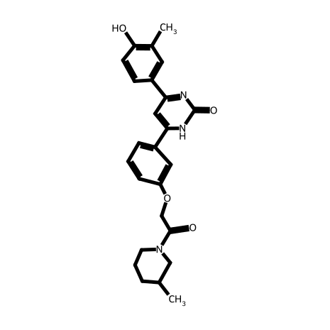 Cc1cc(-c2cc(-c3cccc(OCC(=O)N4CCCC(C)C4)c3)[nH]c(=O)n2)ccc1O